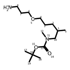 CC(CCCOCCCN)CN(C)C(=O)OC(C)(C)C